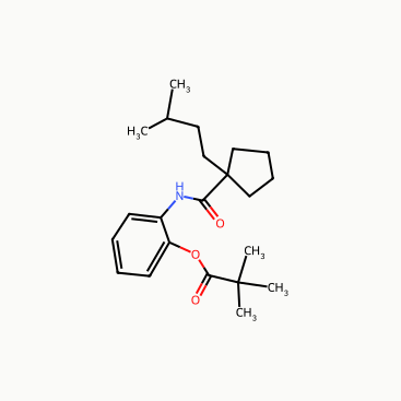 CC(C)CCC1(C(=O)Nc2ccccc2OC(=O)C(C)(C)C)CCCC1